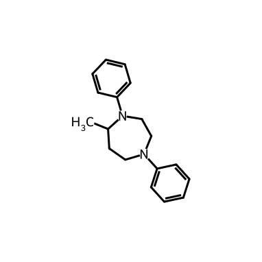 CC1CCN(c2ccccc2)CCN1c1ccccc1